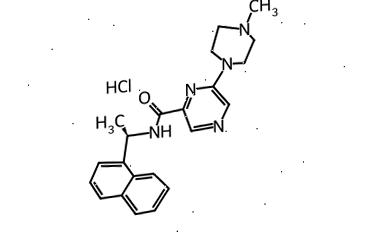 C[C@@H](NC(=O)c1cncc(N2CCN(C)CC2)n1)c1cccc2ccccc12.Cl